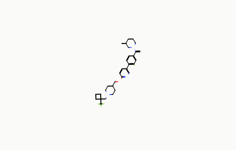 C=C(c1ccc(-c2ccc(OCC3CCN(CC4(C(F)(F)F)CCC4)CC3)nc2)c(F)c1)N1CCCC(C)C1